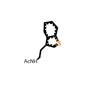 CC(=O)N[CH]Cc1csc2ccccc12